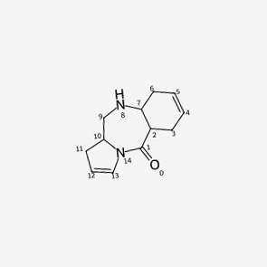 O=C1C2CC=CCC2NCC2CC=CN12